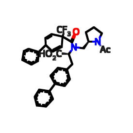 CC(=O)N1CCC[C@@H]1CN(C(=O)C1(C(F)(F)F)C=CC(c2ccccc2)C=C1)[C@@H](Cc1ccc(-c2ccccc2)cc1)C(=O)O